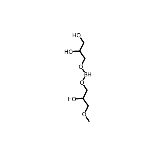 COCC(O)COBOCC(O)CO